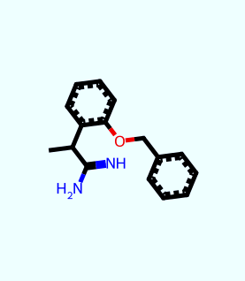 CC(C(=N)N)c1ccccc1OCc1ccccc1